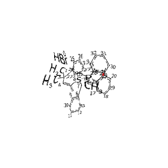 Br.CC1(C)C=CS(Cc2ccccc2)(P(C)(c2ccccc2)(c2ccccc2)c2ccccc2)CC1